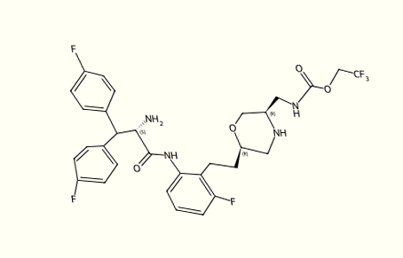 N[C@H](C(=O)Nc1cccc(F)c1CC[C@@H]1CN[C@H](CNC(=O)OCC(F)(F)F)CO1)C(c1ccc(F)cc1)c1ccc(F)cc1